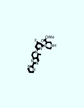 COC(=O)C1CNCCN1c1cc(F)cc(N2CCc3nc(-c4ncccn4)ncc3C2C)n1